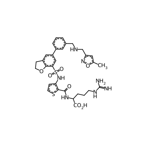 Cc1cc(CNCc2cccc(-c3cc4c(c(S(=O)(=O)Nc5ccsc5C(=O)NC(CCCNC(=N)N)C(=O)O)c3)OCC4)c2)no1